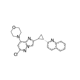 Clc1cc(N2CCOCC2)c2nc(C3C[C@@H]3c3ccc4ccccc4n3)cn2n1